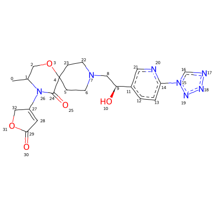 CC1COC2(CCN(C[C@H](O)c3ccc(-n4cnnn4)nc3)CC2)C(=O)N1C1=CC(=O)OC1